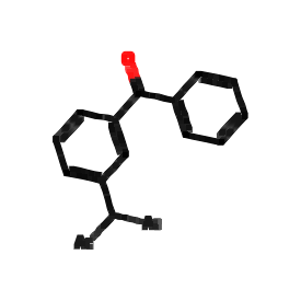 CC(=O)C(C(C)=O)c1cccc(C(=O)c2ccccc2)c1